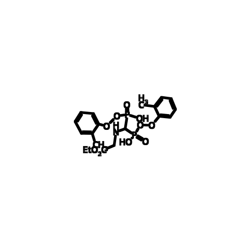 CCOC(=O)CNC(P(=O)(O)OOc1ccccc1C)P(=O)(O)OOc1ccccc1C